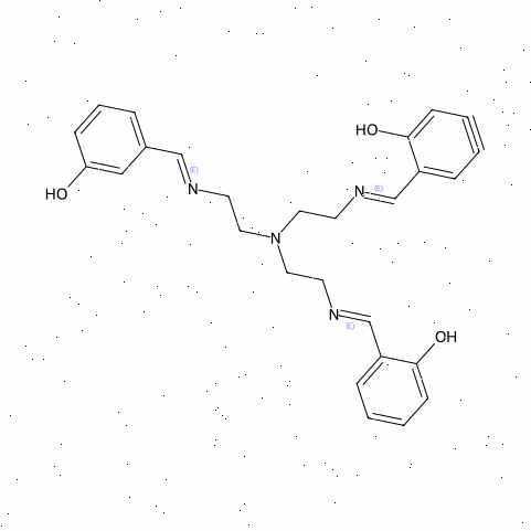 Oc1cccc(/C=N/CCN(CC/N=C/c2cc#ccc2O)CC/N=C/c2ccccc2O)c1